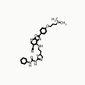 CN(C)CCCOc1ccc(-c2nc3c(NCCC4CN=C(NC(=O)Nc5ccccc5)S4)c(C#N)cnc3o2)cc1